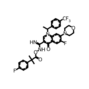 CC(c1ccc(C(F)(F)F)cc1)n1cc(C(=N)NOC(=O)C(C)(C)c2ccc(F)cc2)c(=O)c2cc(F)c(N3CCOCC3)cc21